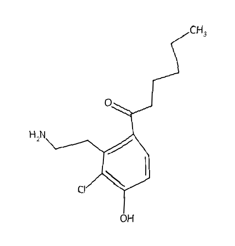 CCCCCC(=O)c1ccc(O)c(Cl)c1CCN